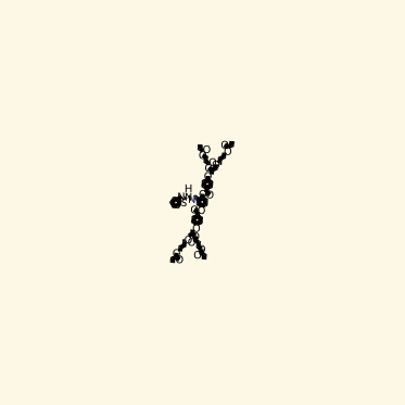 C=CC(=O)OCCCCOCC(COc1ccc(C(=O)Oc2ccc(OC(=O)c3ccc(OCC(COCCCCOC(=O)C=C)OC(=O)CCOC(=O)C=C)cc3)c(/C=N/Nc3nc4ccccc4s3)c2)cc1)OC(=O)CCOC(=O)C=C